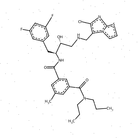 CCCN(CCC)C(=O)c1cc(C)cc(C(=O)N[C@@H](Cc2cc(F)cc(F)c2)[C@H](O)CNCc2c(Cl)nc3sccn23)c1